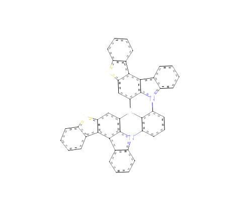 c1cc2c3c(c1)-n1c4ccccc4c4c5c(cc(c41)B3c1cc3sc4ccccc4c3c3c4ccccc4n-2c13)sc1ccccc15